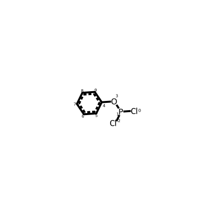 ClP(Cl)Oc1ccccc1